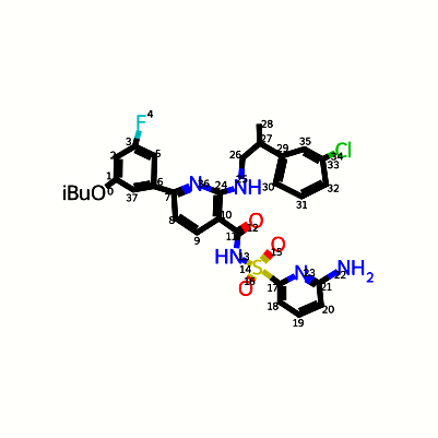 CC(C)COc1cc(F)cc(-c2ccc(C(=O)NS(=O)(=O)c3cccc(N)n3)c(NCC(C)c3cccc(Cl)c3)n2)c1